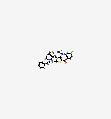 C=c1sc(C(=O)c2ccc(Cl)cc2)c(NC(C)(C)C)/c1=C/C1=C(C)CCN(Cc2ccccc2)C1